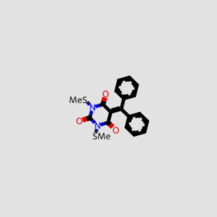 CSN1C(=O)C(=C(c2ccccc2)c2ccccc2)C(=O)N(SC)C1=O